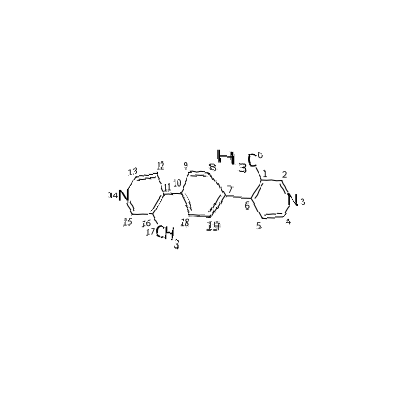 Cc1cnccc1-c1ccc(-c2ccncc2C)cc1